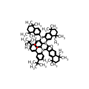 Cc1cc2c3c(c1)N(c1ccc(C(C)(C)C)cc1-c1ccc(C(C)(C)C)cc1)c1c(oc4cc5c(cc14)C(C)(C)CCC5(C)C)B3c1cc3c(cc1N2c1ccc2c(c1)C(C)(C)CCC2(C)C)C(C)(C)CCC3(C)C